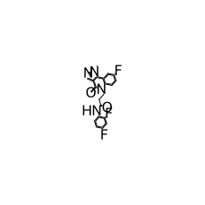 Cn1ncc2c(=O)n(CCC(=O)Nc3ccc(F)cc3F)c3ccc(F)cc3c21